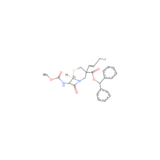 CC(C)(C)OC(=O)NC1C(=O)N2CC(C=CCI)(C(=O)OC(c3ccccc3)c3ccccc3)CS[C@H]12